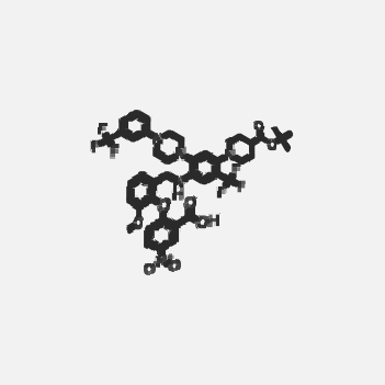 COc1cccc(CNc2cc(C(F)(F)F)c(N3CCC(C(=O)OC(C)(C)C)CC3)cc2N2CCN(c3cccc(C(F)(F)F)c3)CC2)c1Oc1ccc([N+](=O)[O-])cc1C(=O)O